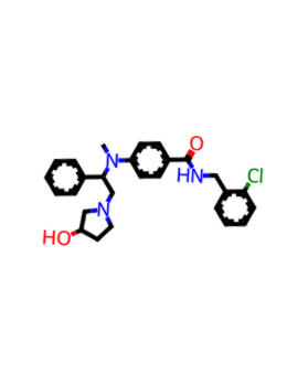 CN(c1ccc(C(=O)NCc2ccccc2Cl)cc1)C(CN1CCC(O)C1)c1ccccc1